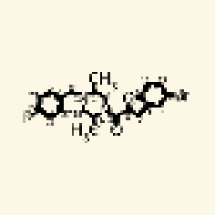 CC1CN(C(=O)c2cc3cc(Br)ccc3o2)C(C)CN1Cc1ccc(F)cc1